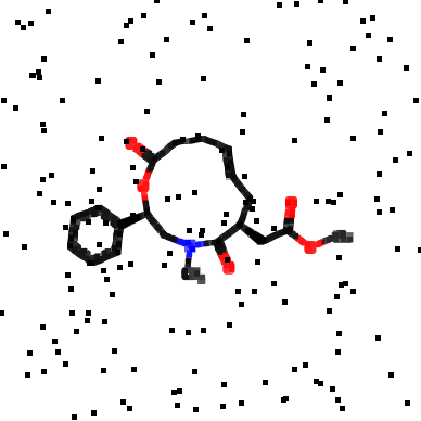 CN1C[C@@H](c2ccccc2)OC(=O)CC/C=C/C[C@@H](CC(=O)OC(C)(C)C)C1=O